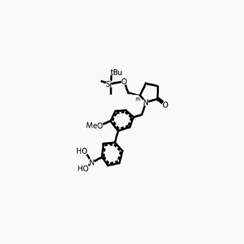 COc1ccc(CN2C(=O)CC[C@@H]2CO[Si](C)(C)C(C)(C)C)cc1-c1cccc(N(O)O)c1